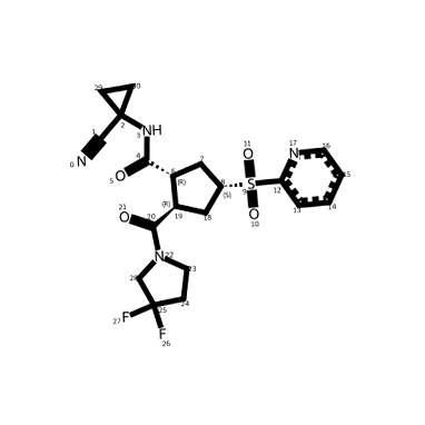 N#CC1(NC(=O)[C@@H]2C[C@H](S(=O)(=O)c3ccccn3)C[C@H]2C(=O)N2CCC(F)(F)C2)CC1